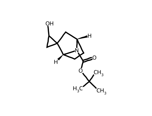 CC(C)(C)OC(=O)N1[C@H]2CC[C@@H]1C1(CC1O)C2